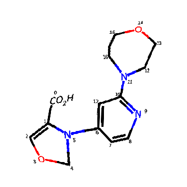 O=C(O)C1=COCN1c1ccnc(N2CCOCC2)c1